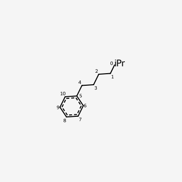 CC(C)CCCCc1ccccc1